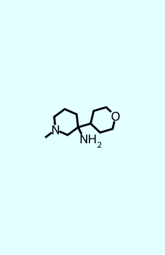 CN1CCCC(N)(C2CCOCC2)C1